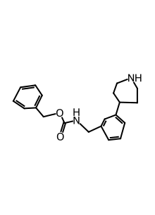 O=C(NCc1cccc(C2CCNCC2)c1)OCc1ccccc1